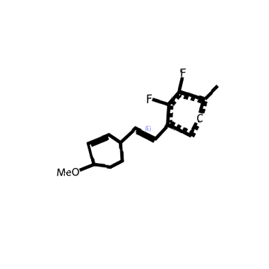 COC1C=CC(/C=C/c2ccc(C)c(F)c2F)CC1